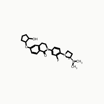 CN(C)[C@@H]1CCN(c2ccc(N3CCc4cc(OC5CCCC5O)ccc4C3=O)cc2F)C1